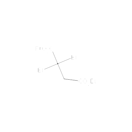 CCOC(=O)CC(CC)(CC)C(=O)OCC